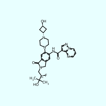 CC(C)(O)[C@H](F)CN1Cc2cc(NC(=O)c3cnn4cccnc34)c(N3CCN([C@H]4C[C@H](O)C4)CC3)cc2C1=O